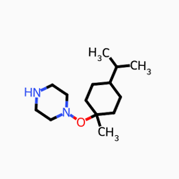 CC(C)C1CCC(C)(ON2CCNCC2)CC1